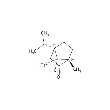 CC(C)[C@@]12CC[C@](C)(C(=O)C1)C2(C)C